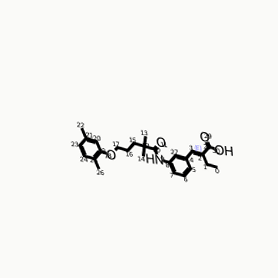 CC/C(=C\c1cccc(NC(=O)C(C)(C)CCCOc2cc(C)ccc2C)c1)C(=O)O